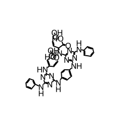 O=C(O)C(/C=C\OO)Nc1nc(Nc2ccccc2)nc(Nc2ccc(Nc3nc(NC(/C=C\OO)=C/OO)nc(Nc4ccccc4)n3)cc2)n1